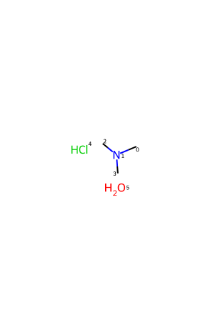 CN(C)C.Cl.O